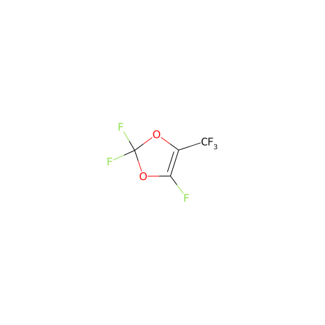 FC1=C(C(F)(F)F)OC(F)(F)O1